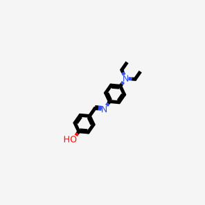 CCN(CC)c1ccc(N=Cc2ccc(O)cc2)cc1